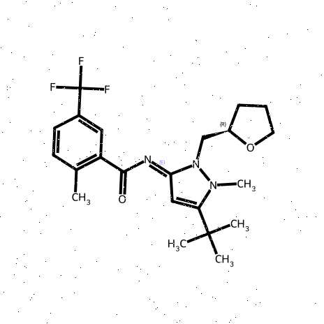 Cc1ccc(C(F)(F)F)cc1C(=O)/N=c1\cc(C(C)(C)C)n(C)n1C[C@H]1CCCO1